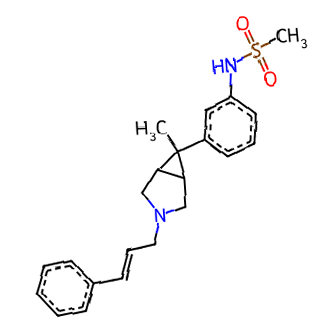 CC1(c2cccc(NS(C)(=O)=O)c2)C2CN(CC=Cc3ccccc3)CC21